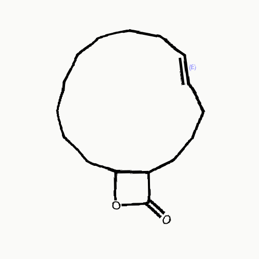 O=C1OC2CCCCCCCC/C=C/CCCC12